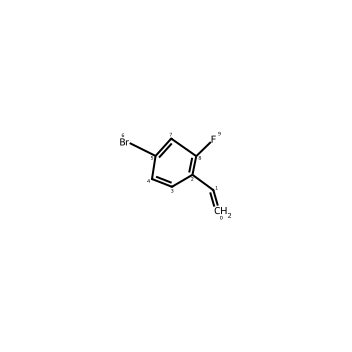 C=Cc1ccc(Br)cc1F